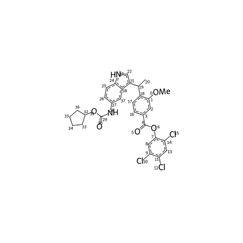 COc1cc(C(=O)Oc2cc(Cl)c(Cl)cc2Cl)ccc1C(C)c1c[nH]c2ccc(NC(=O)OC3CCCC3)cc12